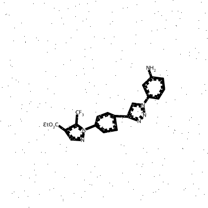 CCOC(=O)c1cnn(-c2ccc(-c3cn(-c4cccc(N)c4)nn3)cc2)c1C(F)(F)F